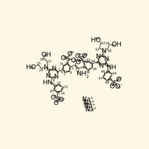 NC(=Cc1ccc(-c2nc(Nc3cccc(S(=O)(=O)[O-])c3)nc(N(CCO)CCO)n2)cc1S(=O)(=O)[O-])c1ccc(-c2nc(Nc3cccc(S(=O)(=O)[O-])c3)nc(N(CCO)CCO)n2)cc1S(=O)(=O)[O-].[Na+].[Na+].[Na+].[Na+]